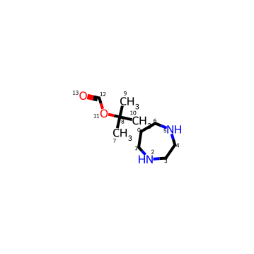 C1CNCCNC1.CC(C)(C)OC=O